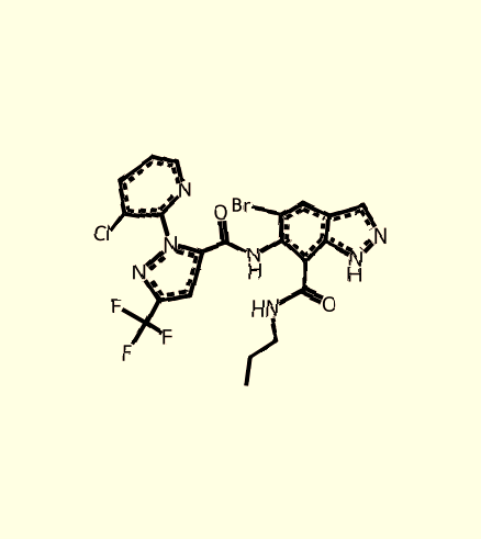 CCCNC(=O)c1c(NC(=O)c2cc(C(F)(F)F)nn2-c2ncccc2Cl)c(Br)cc2cn[nH]c12